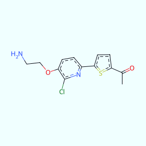 CC(=O)c1ccc(-c2ccc(OCCN)c(Cl)n2)s1